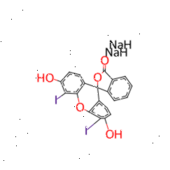 O=C1OC2(c3ccccc31)c1ccc(O)c(I)c1Oc1c2ccc(O)c1I.[NaH].[NaH]